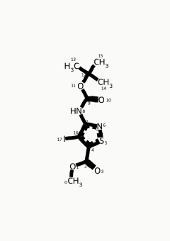 COC(=O)c1snc(NC(=O)OC(C)(C)C)c1I